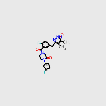 Cc1c(Cc2ccc(F)c(C(=O)N3CCN([C@H]4CC[C@H](F)C4)C(=O)C3)c2)n[nH]c(=O)c1C